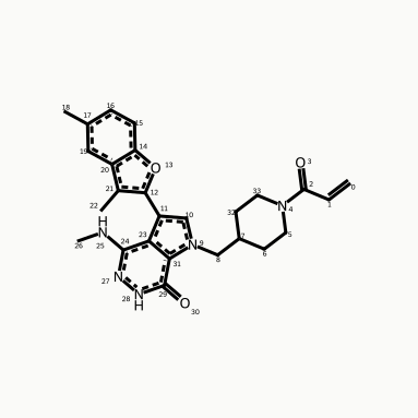 C=CC(=O)N1CCC(Cn2cc(-c3oc4ccc(C)cc4c3C)c3c(NC)n[nH]c(=O)c32)CC1